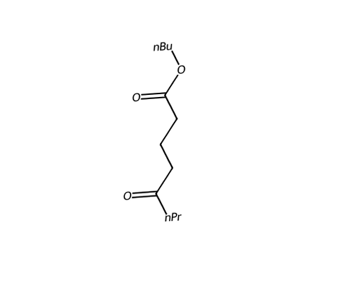 CCCCOC(=O)CCCC(=O)CCC